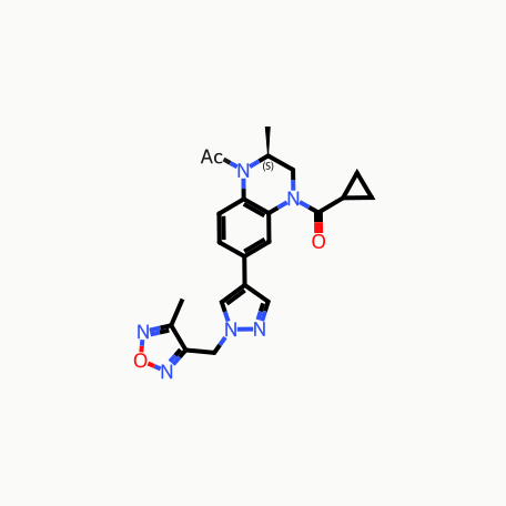 CC(=O)N1c2ccc(-c3cnn(Cc4nonc4C)c3)cc2N(C(=O)C2CC2)C[C@@H]1C